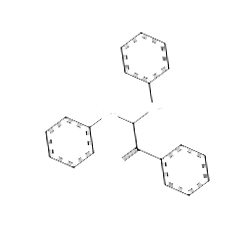 O=C(c1ccccc1)C([Se]c1ccccc1)[Se]c1ccccc1